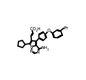 CC(C)c1cccc(Oc2ccc(-c3c(/C=C/C(=O)O)c(C4CCCC4)n4ncnc(N)c34)cc2)c1